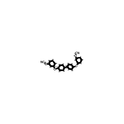 N#COc1cccc(Oc2ccc(-c3ccc(Oc4cccc(OC#N)c4)cc3)cc2)c1